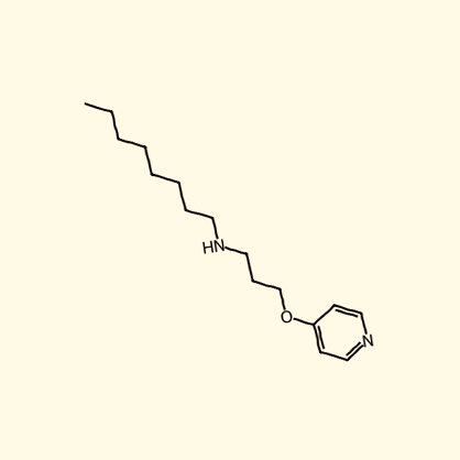 CCCCCCCCNCCCOc1ccncc1